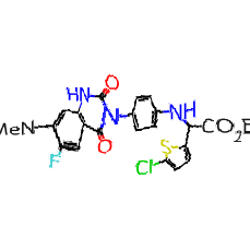 CCOC(=O)C(Nc1ccc(-n2c(=O)[nH]c3cc(NC)c(F)cc3c2=O)cc1)c1ccc(Cl)s1